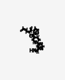 C=C(/C=C\C=C/C)[C@@H]1CCON1C(=O)C1CCN(c2cc(C=N)ncn2)CC1